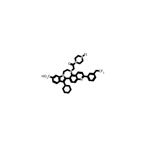 CCN1CCN(C(=O)CN2CCn3c(c(C4CCCCC4)c4ccc(C(=O)O)cc43)-c3ccc4nc(-c5cccc(CC(F)(F)F)c5)ccc4c32)CC1